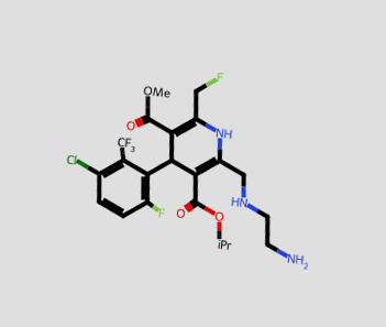 COC(=O)C1=C(CF)NC(CNCCN)=C(C(=O)OC(C)C)C1c1c(F)ccc(Cl)c1C(F)(F)F